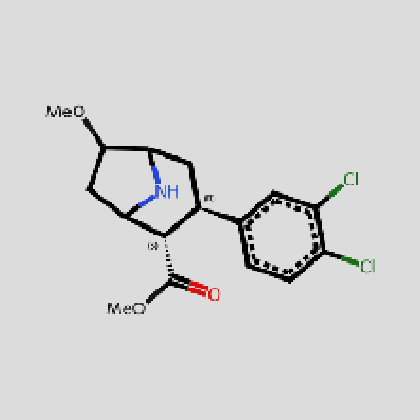 COC(=O)[C@@H]1C2CC(OC)C(C[C@H]1c1ccc(Cl)c(Cl)c1)N2